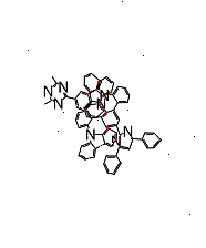 Cc1nc(C)nc(-c2ccc3c(c2)c2ccccc2n3-c2c(-c3ccccc3-n3c4ccccc4c4ccccc43)cc(-c3nc(-c4ccccc4)cc(-c4ccccc4)n3)cc2-c2ccccc2-n2c3ccccc3c3ccccc32)n1